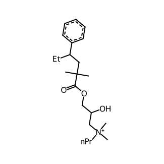 CCC[N+](C)(C)CC(O)COC(=O)C(C)(C)CC(CC)c1ccccc1